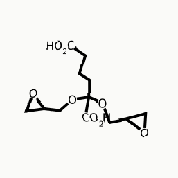 O=C(O)CCCC(OCC1CO1)(OCC1CO1)C(=O)O